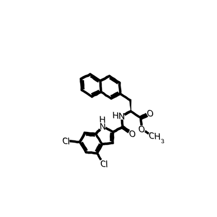 COC(=O)[C@H](Cc1ccc2ccccc2c1)NC(=O)c1cc2c(Cl)cc(Cl)cc2[nH]1